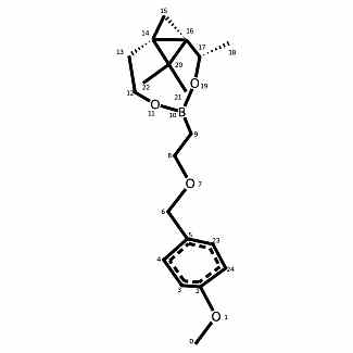 COc1ccc(COCCB2OCC[C@]34C[C@]3([C@H](C)O2)C4(C)C)cc1